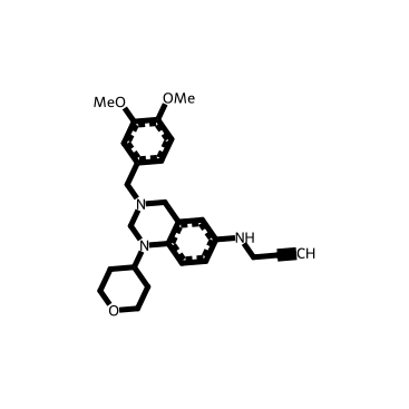 C#CCNc1ccc2c(c1)CN(Cc1ccc(OC)c(OC)c1)CN2C1CCOCC1